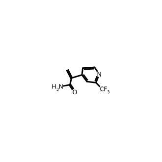 C=C(C(N)=O)c1ccnc(C(F)(F)F)c1